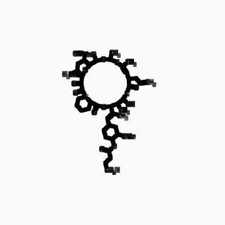 C=CCC1/C=C(/C)CC(C)CC(OC)C2OC(O)(C(=O)C(=O)N3CCCCC3C(=O)OC(/C(C)=C/C3CCC(OC(=O)CCC(=O)O)C(OC)C3)C(C)C(O)CC1=O)C(C)CC2OC